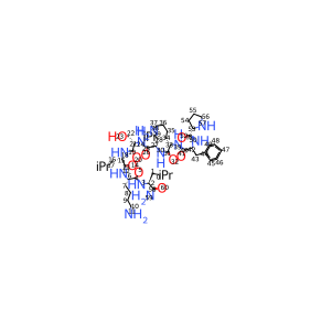 CC(C)C[C@H](NC(=O)[C@H](CCCCN)NC(=O)[C@H](CC(C)C)NC(=O)[C@H](CO)NC(=O)[C@H](CC(C)C)NC(=O)[C@H](CCCCN)NC(=O)[C@H](Cc1ccccc1)NC(=O)[C@@H]1CCCN1)C(N)=O